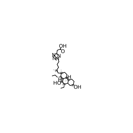 CCC[C@H]1[C@@H]2[C@H](O)[C@H](CC)C3C[C@H](O)CC[C@]3(C)[C@H]2CC[C@]1(C)C[C@H](C)CCCn1nnc(CC(=O)O)n1